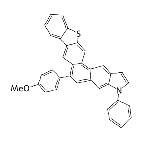 COc1ccc(-c2cc3cc4c(ccn4-c4ccccc4)cc3c3cc4sc5ccccc5c4cc23)cc1